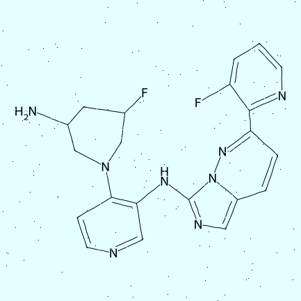 NC1CC(F)CN(c2ccncc2Nc2ncc3ccc(-c4ncccc4F)nn23)C1